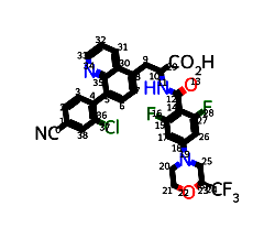 N#Cc1ccc(-c2ccc(CC(NC(=O)c3c(F)cc(N4CCO[C@H](C(F)(F)F)C4)cc3F)C(=O)O)c3cccnc23)c(Cl)c1